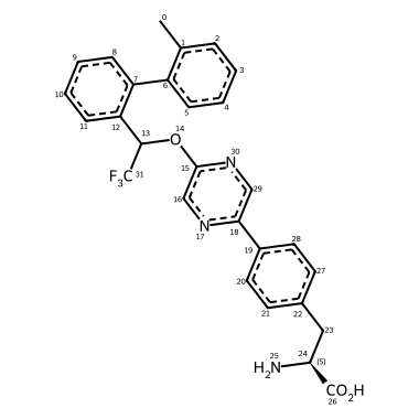 Cc1ccccc1-c1ccccc1C(Oc1cnc(-c2ccc(C[C@H](N)C(=O)O)cc2)cn1)C(F)(F)F